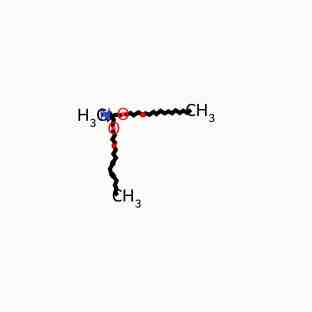 CCCCCC#CCC#CCCCCCCCCOCCC1(CCOCCCCCCCCCCCCCCCCCC)CN(C)C1